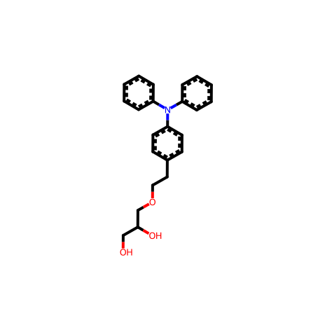 OCC(O)COCCc1ccc(N(c2ccccc2)c2ccccc2)cc1